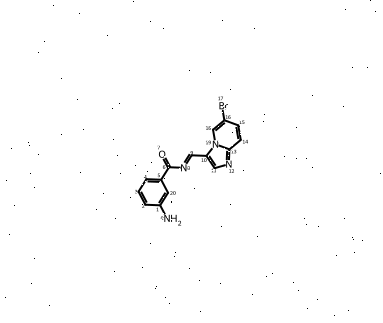 Nc1cccc(C(=O)/N=C/c2cnc3ccc(Br)cn23)c1